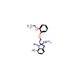 CCCN1c2c(C#N)cccc2CC1(N)CCOc1ccccc1OCC(F)(F)F